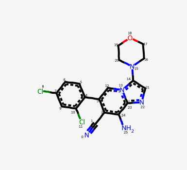 N#Cc1c(-c2ccc(Cl)cc2Cl)cn2c(N3CCOCC3)cnc2c1N